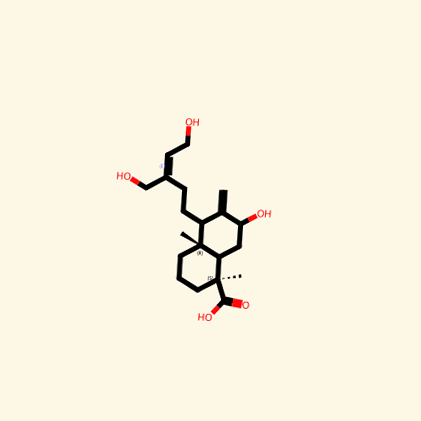 C=C1C(O)CC2[C@](C)(CCC[C@]2(C)C(=O)O)C1CC/C(=C\CO)CO